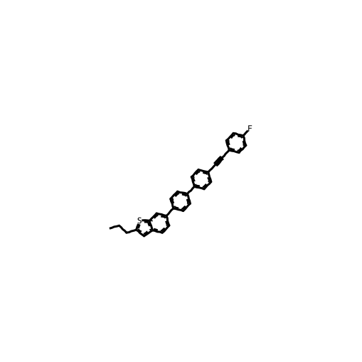 CCCc1cc2ccc(-c3ccc(-c4ccc(C#Cc5ccc(F)cc5)cc4)cc3)cc2s1